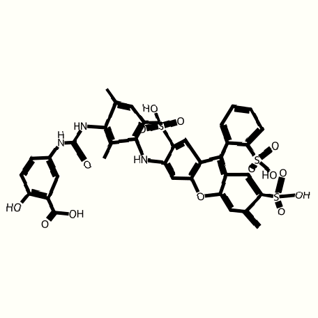 C=c1cc2c(cc1S(=O)(=O)O)=C(c1ccccc1S(=O)(=O)O)c1cc(S(=O)(=O)O)c(Nc3c(C)cc(C)c(NC(=O)Nc4ccc(O)c(C(=O)O)c4)c3C)cc1O2